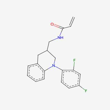 C=CC(=O)NCC1Cc2ccccc2N(c2ccc(F)cc2F)C1